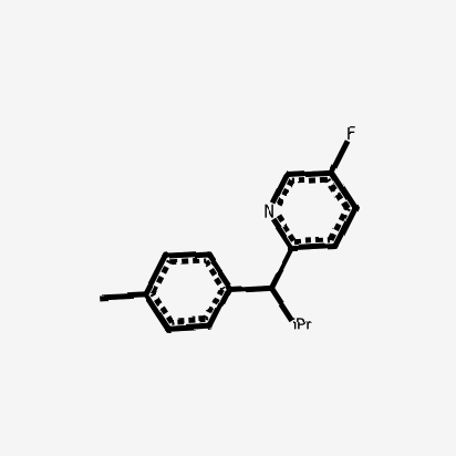 Cc1ccc(C(c2ccc(F)cn2)C(C)C)cc1